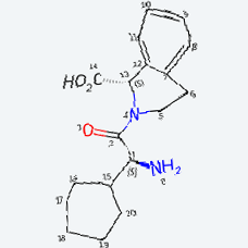 N[C@H](C(=O)N1CCc2ccccc2[C@H]1C(=O)O)C1CCCCC1